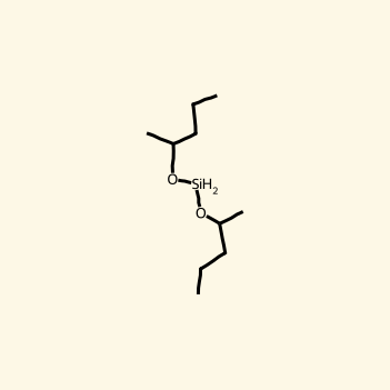 CCCC(C)O[SiH2]OC(C)CCC